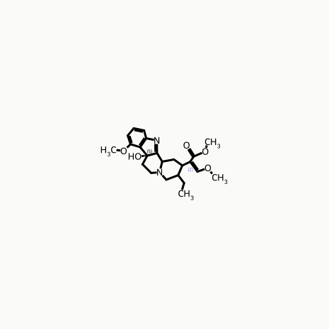 CCC1CN2CC[C@@]3(O)C(=Nc4cccc(OC)c43)C2CC1/C(=C/OC)C(=O)OC